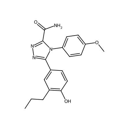 CCCc1cc(-c2nnc(C(N)=O)n2-c2ccc(OC)cc2)ccc1O